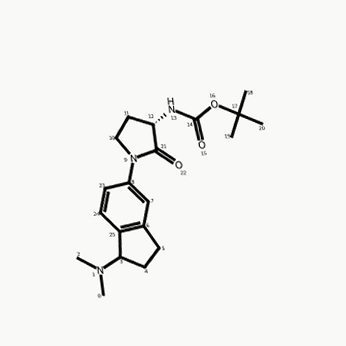 CN(C)C1CCc2cc(N3CC[C@H](NC(=O)OC(C)(C)C)C3=O)ccc21